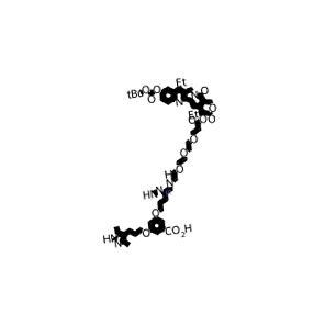 CCc1c2c(nc3ccc(OC(=O)OC(C)(C)C)cc13)-c1cc3c(c(=O)n1C2)COC(=O)C3(CC)OC(=O)CCOCCOCCOCCN/C=C(/CCCOc1cc(OCCCc2c(C)n[nH]c2C)cc(C(=O)O)c1)N=N